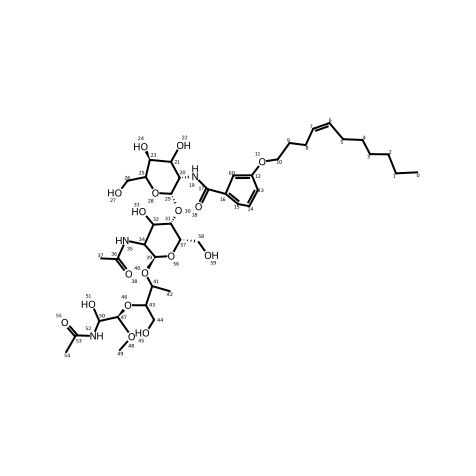 CCCCCC/C=C\CCCOc1cccc(C(=O)N[C@H]2C(O)[C@H](O)C(CO)O[C@H]2O[C@H]2C(O)C(NC(C)=O)[C@H](OC(C)C(CO)O[C@@H](OC)C(O)NC(C)=O)O[C@H]2CO)c1